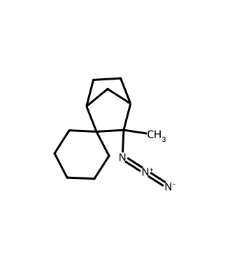 CC1(N=[N+]=[N-])C2CCC(C2)C12CCCCC2